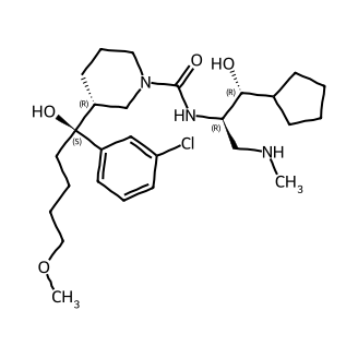 CNC[C@@H](NC(=O)N1CCC[C@@H]([C@@](O)(CCCCOC)c2cccc(Cl)c2)C1)[C@H](O)C1CCCC1